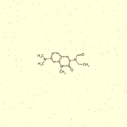 CCN(C=O)c1cc2ccc(N(C)C)cc2n(C)c1=O